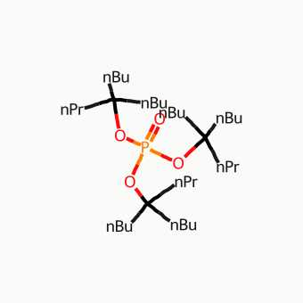 CCCCC(CCC)(CCCC)OP(=O)(OC(CCC)(CCCC)CCCC)OC(CCC)(CCCC)CCCC